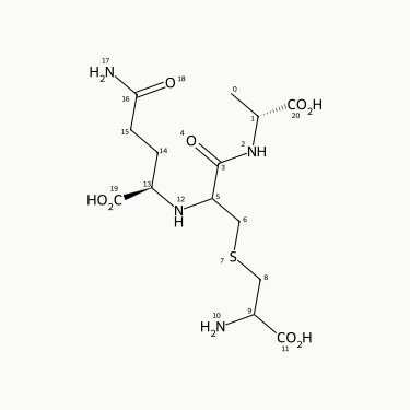 C[C@@H](NC(=O)C(CSCC(N)C(=O)O)N[C@H](CCC(N)=O)C(=O)O)C(=O)O